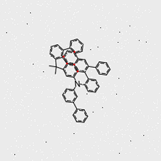 CC1(C)c2cc(N(c3cccc(-c4ccccc4)c3)c3ccccc3-c3cc4ccccc4cc3-c3ccccc3)ccc2-c2c(-c3ccccc3)cccc21